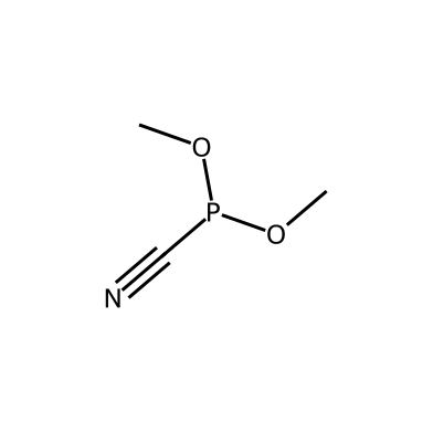 COP(C#N)OC